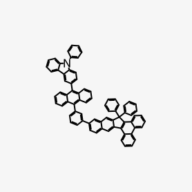 c1ccc(-n2c3ccccc3c3cc(-c4c5ccccc5c(-c5cccc(-c6ccc7cc8c(cc7c6)C(c6ccccc6)(c6ccccc6)c6c-8c7ccccc7c7ccccc67)c5)c5ccccc45)ccc32)cc1